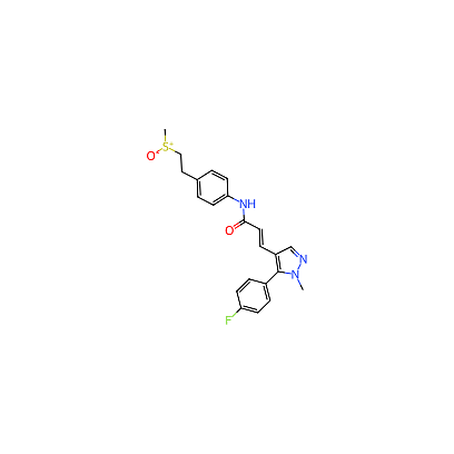 Cn1ncc(C=CC(=O)Nc2ccc(CC[S+](C)[O-])cc2)c1-c1ccc(F)cc1